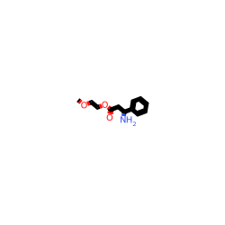 COCCOC(=O)CC(N)c1ccccc1